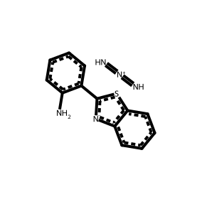 N=[N+]=N.Nc1ccccc1-c1nc2ccccc2s1